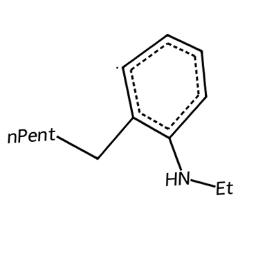 CCCCCCc1[c]cccc1NCC